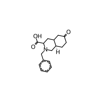 O=C1CC[C@H]2CN(Cc3ccccc3)C(C(=O)O)CC2C1